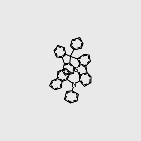 c1ccc(N(c2cccc3ccccc23)c2cccc3c2sc2c(C4(c5ccccc5)c5ccccc5-c5ccccc54)cccc23)cc1